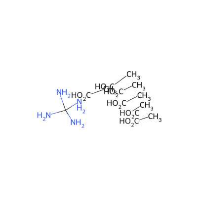 CC(=O)O.CC(=O)O.CC(=O)O.CC(=O)O.CC(=O)O.CC(=O)O.NC(N)(N)N